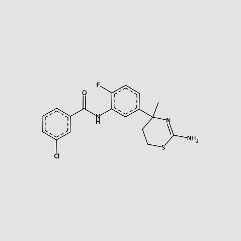 CC1(c2ccc(F)c(NC(=O)c3cccc(Cl)c3)c2)CCSC(N)=N1